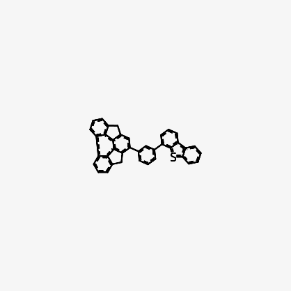 c1cc(-c2cc3c4c5c(cccc5c5cccc6c5c4c2C6)C3)cc(-c2cccc3c2sc2ccccc23)c1